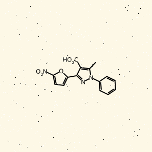 Cc1c(C(=O)O)c(-c2ccc([N+](=O)[O-])o2)nn1-c1ccccc1